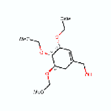 COCO[C@@H]1[C@H](OCOC)C=C(CO)C[C@H]1OCOC